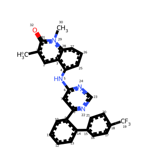 Cc1cc2c(Nc3cc(-c4ccccc4-c4ccc(C(F)(F)F)cc4)ncn3)cccc2n(C)c1=O